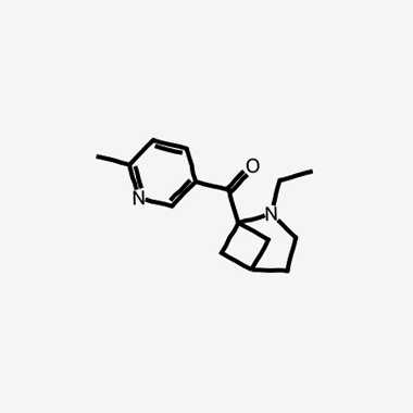 CCN1CCC2CC1(C(=O)c1ccc(C)nc1)C2